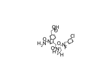 NC(=O)n1cc(CC(=O)N2[C@@H]3C[C@@H]3C[C@H]2C(=O)N(F)Cc2cccc(Cl)c2)c2ccc(CC(=O)O)cc21